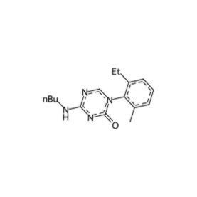 CCCCNc1ncn(-c2c(C)cccc2CC)c(=O)n1